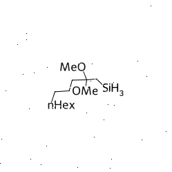 CCCCCCCCCC(C[SiH3])(OC)OC